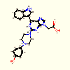 O=C(O)Cn1cnc2c(-c3c[nH]c4ccccc34)nc(N3CCN(c4ccc(O)cc4)CC3)nc21